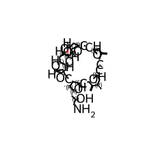 C=C1C[C@@H]2CC[C@@]34C[C@H]5O[C@H]6C(O3)[C@H]3O[C@H](CC[C@@H]3O[C@@]6(C)[C@H]5O4)CC(=O)CC3[C@H](CC4O[C@@H](CCC1O2)C[C@@H](C)C4=C)O[C@H](C[C@H](O)CN)[C@@H]3C